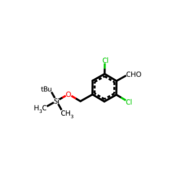 CC(C)(C)[Si](C)(C)OCc1cc(Cl)c(C=O)c(Cl)c1